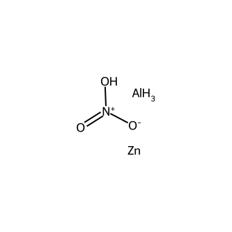 O=[N+]([O-])O.[AlH3].[Zn]